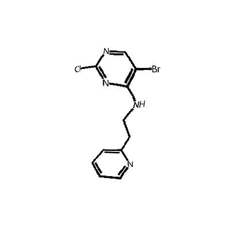 Clc1ncc(Br)c(NCCc2ccccn2)n1